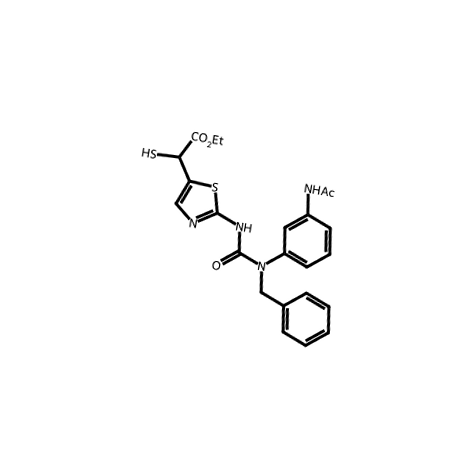 CCOC(=O)C(S)c1cnc(NC(=O)N(Cc2ccccc2)c2cccc(NC(C)=O)c2)s1